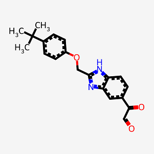 CC(C)(C)c1ccc(OCc2nc3cc(C(=O)C=O)ccc3[nH]2)cc1